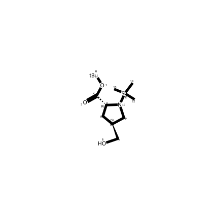 CC(C)(C)OC(=O)[C@H]1C[C@H](CO)CN1[Si](C)(C)C